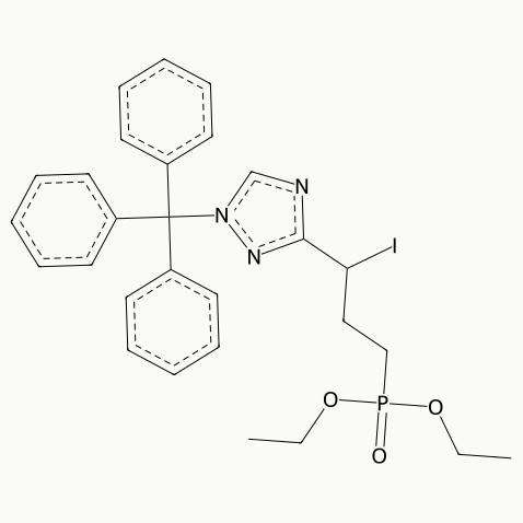 CCOP(=O)(CCC(I)c1ncn(C(c2ccccc2)(c2ccccc2)c2ccccc2)n1)OCC